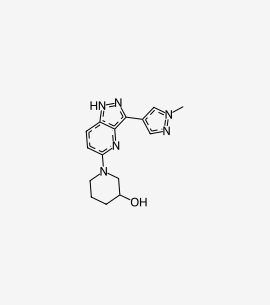 Cn1cc(-c2n[nH]c3ccc(N4CCCC(O)C4)nc23)cn1